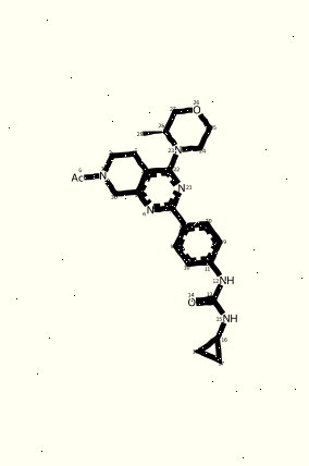 CC(=O)N1CCc2c(nc(-c3ccc(NC(=O)NC4CC4)cc3)nc2N2CCOC[C@@H]2C)C1